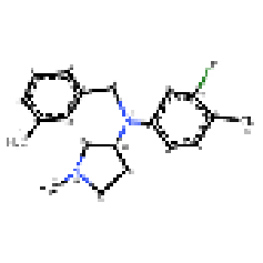 Cc1cccc(CN(c2ccc(C#N)c(Cl)c2)[C@H]2CCN(C)C2)c1